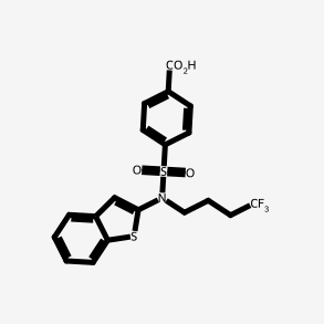 O=C(O)c1ccc(S(=O)(=O)N(CCCC(F)(F)F)c2cc3ccccc3s2)cc1